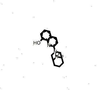 CN1C2CCCC1CN(c1ccc3cccc(O)c3n1)C2